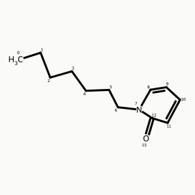 CCCCCCCn1ccccc1=O